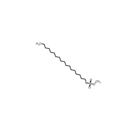 CCCCCCCCCCCCCCCCCC[N]S(=O)(=O)OC